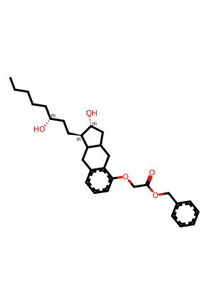 CCCCC[C@@H](O)CC[C@@H]1C2Cc3cccc(OCC(=O)OCc4ccccc4)c3CC2C[C@H]1O